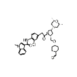 C[C@@H]1CN([C@H]2C[C@@H](CO[C@H]3CC[C@H](C=O)CC3)N(C(=O)Cc3ccc(NC(=O)c4cn(C)c5ccccc45)c(Cl)c3)C2)C[C@H](C)O1